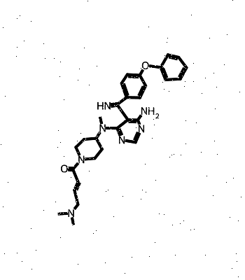 CN(C)C/C=C/C(=O)N1CCC(N(C)c2ncnc(N)c2C(=N)c2ccc(Oc3ccccc3)cc2)CC1